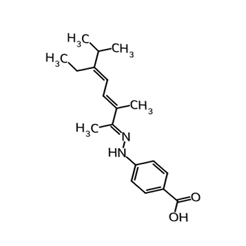 CC\C(=C/C=C(C)/C(C)=N/Nc1ccc(C(=O)O)cc1)C(C)C